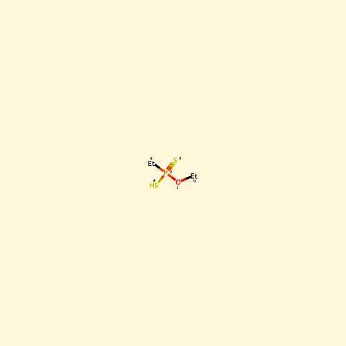 CCOP(=S)(S)CC